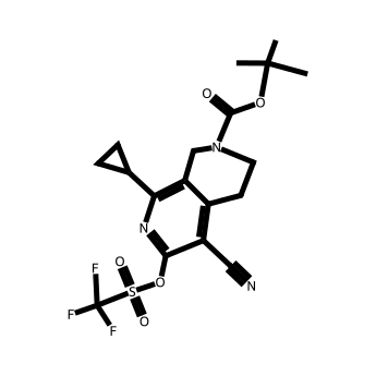 CC(C)(C)OC(=O)N1CCc2c(C#N)c(OS(=O)(=O)C(F)(F)F)nc(C3CC3)c2C1